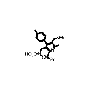 CSCc1c(C)nc(CC(C)C)c(CN(C(=O)O)C(C)(C)C)c1-c1ccc(C)cc1